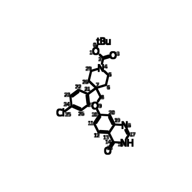 CC(C)(C)OC(=O)N1CCC(COc2ccc3c(=O)[nH]cnc3c2)(c2ccc(Cl)cc2)CC1